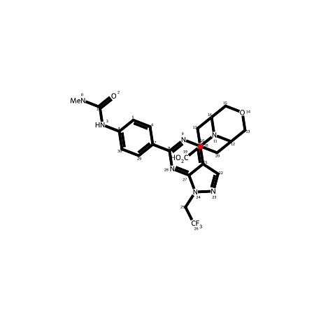 CNC(=O)Nc1ccc(-c2nc(N3C4COCC3CN(C(=O)O)C4)c3cnn(CC(F)(F)F)c3n2)cc1